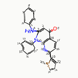 O=c1cc(Nc2ccccc2)n(-c2ccccc2)c2nc(-c3cccs3)ccc12